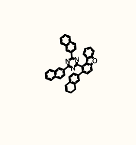 C1=Cc2ccc(-c3ccc4oc5ccccc5c4c3-c3nc(-c4ccc5ccccc5c4)nc(-c4ccc5ccccc5c4)n3)cc2CC1